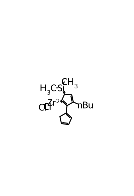 CCCCC1=CC(=[Si](C)C)[C]([Zr+2])=C1C1=CC=CC1.[Cl-].[Cl-]